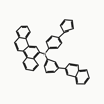 c1ccc(-c2ccc(N(c3cccc(-c4ccc5ccccc5c4)c3)c3cc4c5ccccc5ccc4c4ccccc34)cc2)cc1